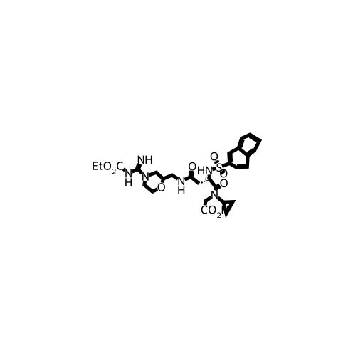 CCOC(=O)NC(=N)N1CCOC(CNC(=O)C[C@H](NS(=O)(=O)c2ccc3ccccc3c2)C(=O)N(CC(=O)O)C2CC2)C1